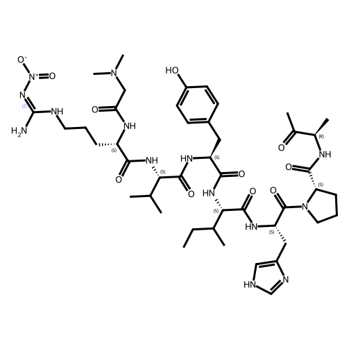 CCC(C)[C@H](NC(=O)[C@H](Cc1ccc(O)cc1)NC(=O)[C@@H](NC(=O)[C@H](CCCN/C(N)=N\[N+](=O)[O-])NC(=O)CN(C)C)C(C)C)C(=O)N[C@@H](Cc1c[nH]cn1)C(=O)N1CCC[C@H]1C(=O)N[C@H](C)C(C)=O